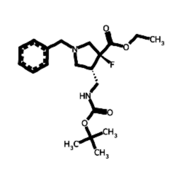 CCOC(=O)[C@@]1(F)CN(Cc2ccccc2)C[C@H]1CNC(=O)OC(C)(C)C